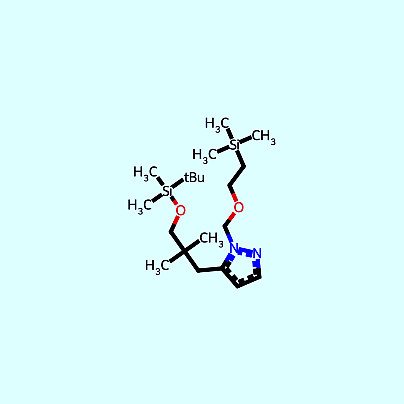 CC(C)(CO[Si](C)(C)C(C)(C)C)Cc1ccnn1COCC[Si](C)(C)C